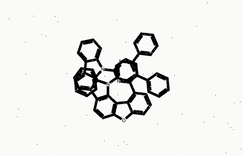 c1ccc(-c2cccc(-n3c4ccccc4c4ccc5oc6cccc(-c7nc(-c8ccccc8)nc(-n8c9ccccc9c9ccccc98)n7)c6c5c43)c2)cc1